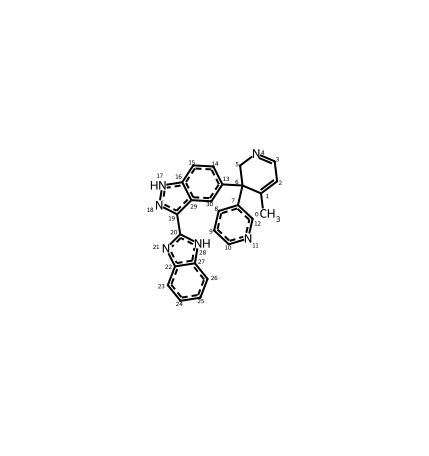 CC1=CC=NCC1(c1cccnc1)c1ccc2[nH]nc(-c3nc4ccccc4[nH]3)c2c1